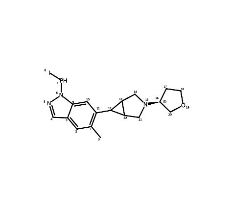 Cc1cc2cnn(PI)c2cc1C1C2CN([C@H]3CCOC3)CC21